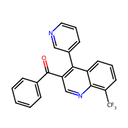 O=C(c1ccccc1)c1cnc2c(C(F)(F)F)cccc2c1-c1cccnc1